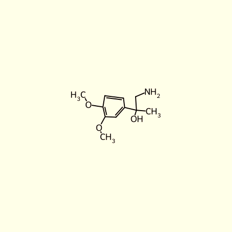 COc1ccc(C(C)(O)CN)cc1OC